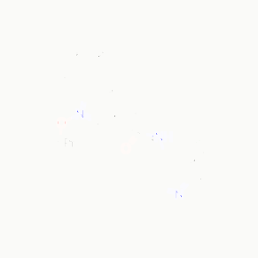 CCCOn1cc(CC(=O)Nc2ccncc2Cl)c2ccccc21